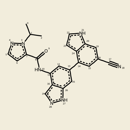 CC(C)n1nccc1C(=O)Nc1cc(-c2cc(C#N)cc3[nH]ccc23)cc2[nH]ncc12